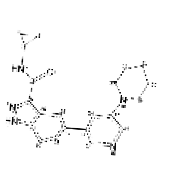 O=C(NC1CC1)c1n[nH]c2ccc(-c3cncc(N4CCCCC4)c3)cc12